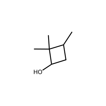 CC1CC(O)C1(C)C